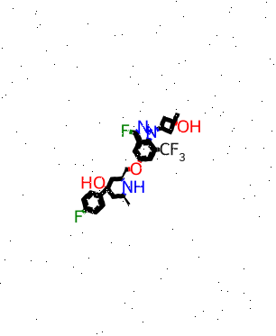 C[C@H]1C[C@@](O)(c2ccc(F)cc2)C[C@@H](COc2cc(C(F)(F)F)c3c(c2)c(F)nn3C2CC(C)(O)C2)N1